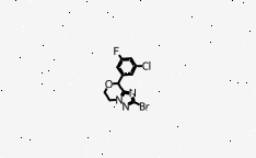 Fc1cc(Cl)cc(C2OCCn3nc(Br)nc32)c1